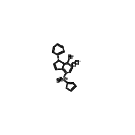 [Cl-].[Cl-].[S]=[Zr+2]([C]1=CC=CC1)[c]1ccc(Br)c2c1C=CC2c1ccccc1